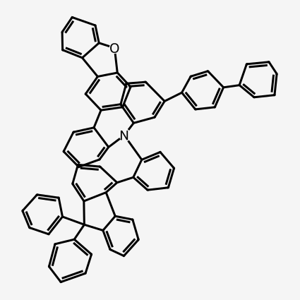 c1ccc(-c2ccc(-c3cccc(N(c4ccccc4-c4ccc5oc6ccccc6c5c4)c4ccccc4-c4cccc5c4-c4ccccc4C5(c4ccccc4)c4ccccc4)c3)cc2)cc1